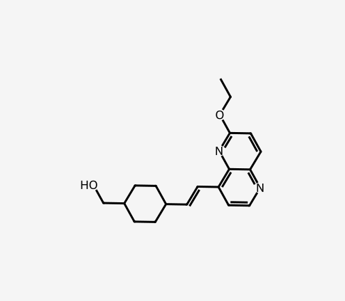 CCOc1ccc2nccc(/C=C/C3CCC(CO)CC3)c2n1